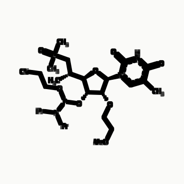 [C-]#[N+]CCOP(O[C@H]1[C@@H](OCCOC)[C@H](n2cc(C)c(=O)[nH]c2=O)O[C@@H]1[C@H](C)CP(C)(C)=O)N(C(C)C)C(C)C